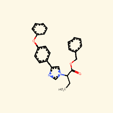 O=C(O)CC(C(=O)OCc1ccccc1)n1cnc(-c2ccc(Oc3ccccc3)cc2)c1